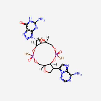 Nc1nc2c(nnn2[C@@H]2S[C@@H]3COP(=O)(S)O[C@H]4C(c5cnc6c(N)ncnn56)CO[C@@H]4COP(=O)(S)O[C@@H]2[C@@H]3O)c(=O)[nH]1